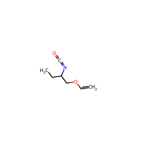 C=COCC(CC)N=C=O